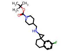 CC(C)(C)OC(=O)N1CCC(CNC2CC23CCCc2ccc(F)cc23)CC1